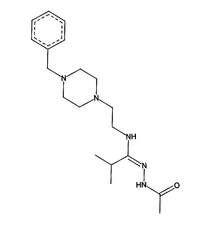 CC(=O)N/N=C(/NCCN1CCN(Cc2ccccc2)CC1)C(C)C